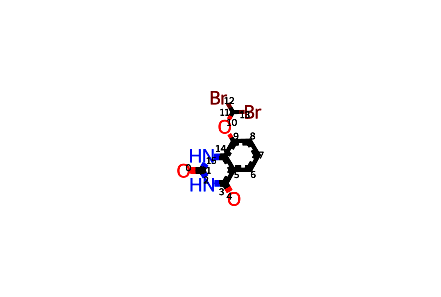 O=c1[nH]c(=O)c2cccc(OC(Br)Br)c2[nH]1